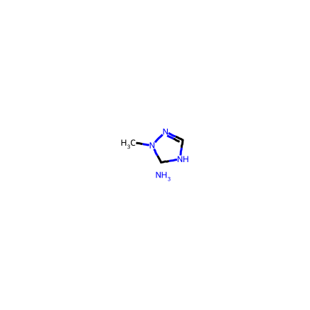 CN1CNC=N1.N